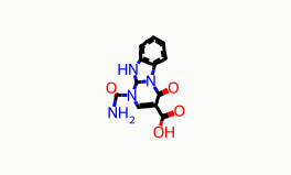 NC(=O)N1C=C(C(=O)O)C(=O)N2c3ccccc3NC12